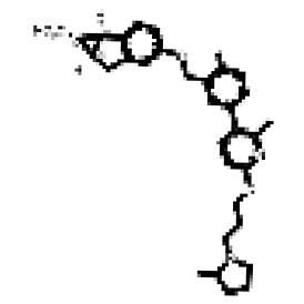 Cc1nc(OCCCN2CCCC2=O)ccc1-c1ccc(F)c(COc2ccc3c(c2)C[C@H]2[C@H](C(=O)O)[C@@H]32)c1